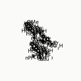 CCCC(CCC)C(=O)O.CCCCC(=O)N(Cc1ccc(-c2ccccc2-c2nnn[nH]2)cc1)[C@H](C(=O)O)C(C)C.CCCCC(=O)OCC(=O)[C@]1(O)Cc2c(O)c3c(c(O)c2[C@@H](O[C@H]2C[C@H](NC(=O)C(F)(F)F)[C@H](O)[C@H](C)O2)C1)C(=O)c1c(OC)cccc1C3=O.CCCCC(=O)OCC(=O)[C@]1(O)Cc2c(O)c3c(c(O)c2[C@@H](O[C@H]2C[C@H](NC(=O)C(F)(F)F)[C@H](O)[C@H](C)O2)C1)C(=O)c1c(OC)cccc1C3=O